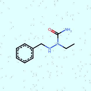 CCN(NCc1ccccc1)C(N)=O